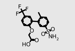 Cc1ccc(S(N)(=O)=O)cc1-c1cc(C(F)(F)F)ccc1OCC(=O)O